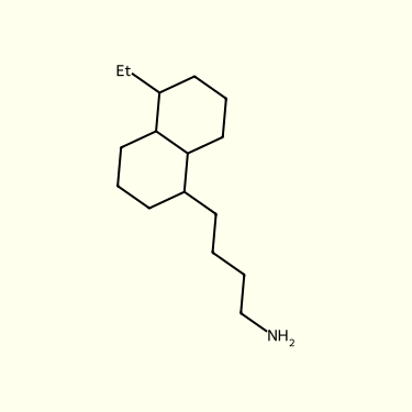 CCC1CCCC2C(CCCCN)CCCC12